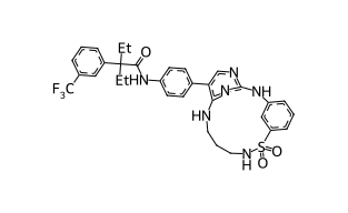 CCC(CC)(C(=O)Nc1ccc(-c2cnc3nc2NCCCNS(=O)(=O)c2cccc(c2)N3)cc1)c1cccc(C(F)(F)F)c1